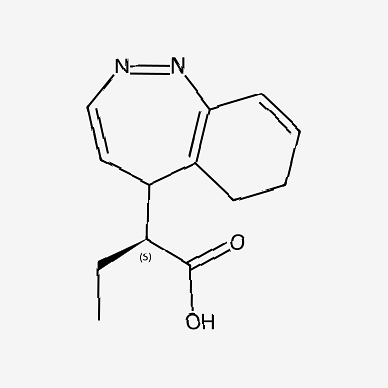 CC[C@H](C(=O)O)C1C=CN=NC2=C1CCC=C2